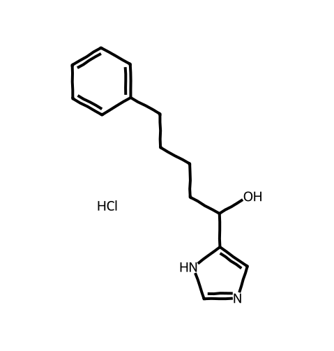 Cl.OC(CCCCc1ccccc1)c1cnc[nH]1